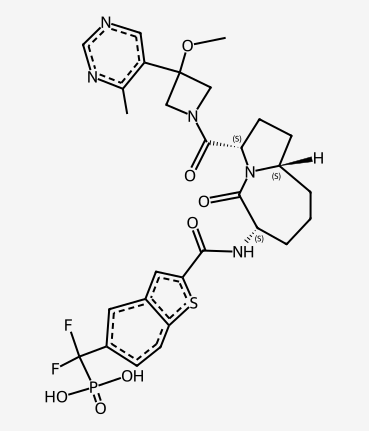 COC1(c2cncnc2C)CN(C(=O)[C@@H]2CC[C@@H]3CCC[C@H](NC(=O)c4cc5cc(C(F)(F)P(=O)(O)O)ccc5s4)C(=O)N32)C1